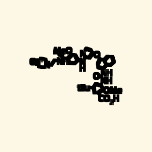 COc1cc(Nc2cc(Oc3ccc(NC(=O)Nc4cc(C(C)(C)C)cc(C(=O)O)c4OC)c4ccccc34)ccn2)ccc1C(=O)NCCN1CC[S+]([O-])CC1